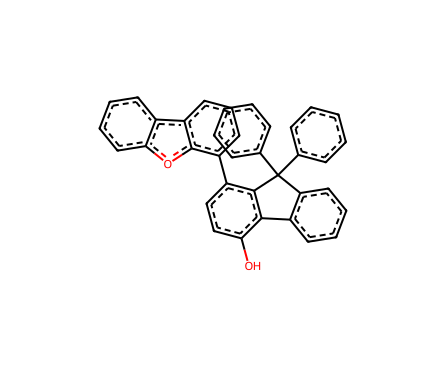 Oc1ccc(-c2cccc3c2oc2ccccc23)c2c1-c1ccccc1C2(c1ccccc1)c1ccccc1